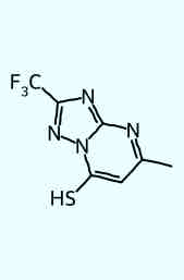 Cc1cc(S)n2nc(C(F)(F)F)nc2n1